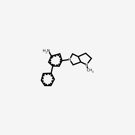 CN1CCC2CN(c3cc(N)cc(-c4ccccc4)c3)CC21